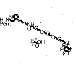 CCCCCc1cc2c(CCCCCNC(=O)CCOCCOCCOCCOCCOCCC(=O)Oc3c(F)c(F)c(F)c(F)c3F)cccc2nc1N.O=C(O)C(F)(F)F